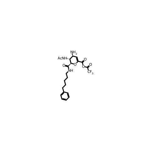 CC(=O)N[C@@H]1[C@@H](N)C=C(C(=O)OC(=O)C(F)(F)F)O[C@H]1C(=O)NCCCCCc1ccccc1